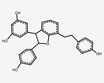 Oc1ccc(CCc2cccc3c2OC(c2ccc(O)cc2)C3c2cc(O)cc(O)c2)cc1